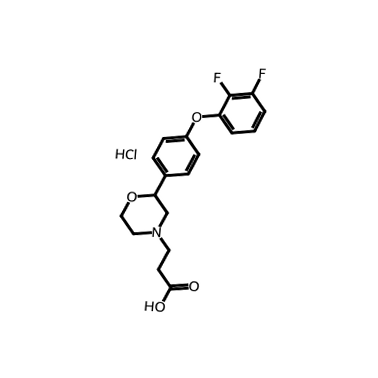 Cl.O=C(O)CCN1CCOC(c2ccc(Oc3cccc(F)c3F)cc2)C1